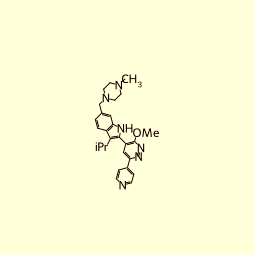 COc1nnc(-c2ccncc2)cc1-c1[nH]c2cc(CN3CCN(C)CC3)ccc2c1C(C)C